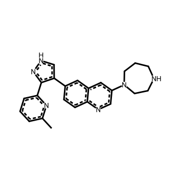 Cc1cccc(-c2n[nH]cc2-c2ccc3ncc(N4CCCNCC4)cc3c2)n1